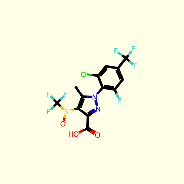 Cc1c([S+]([O-])C(F)(F)F)c(C(=O)O)nn1-c1c(F)cc(C(F)(F)F)cc1Cl